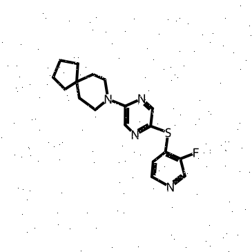 Fc1cnccc1Sc1cnc(N2CCC3(CCCC3)CC2)cn1